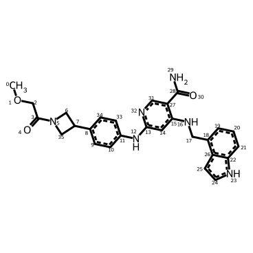 COCC(=O)N1CC(c2ccc(Nc3cc(NCc4cccc5[nH]ccc45)c(C(N)=O)cn3)cc2)C1